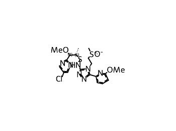 COc1cccc(-c2nnc(NS[C@@H](C)[C@H](OC)c3ncc(Cl)cn3)n2CC[S+](C)[O-])n1